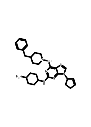 NC1CCC(Nc2nc(NN3CCC(Cc4ccccc4)CC3)c3ncn(C4C=CCC4)c3n2)CC1